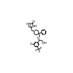 O=c1[nH]nc(CN2CCC(COC(CO)c3cc(F)cc(C(F)(F)F)c3)(c3ccccc3)CC2)[nH]1